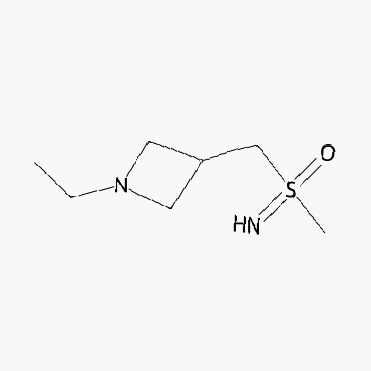 CCN1CC(CS(C)(=N)=O)C1